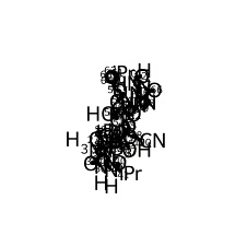 CC(C)C(=O)Nc1nc2c(ncn2[C@@H]2O[C@H](COP(OCCC#N)O[C@H]3[C@@H](O[Si](C)(C)C(C)(C)C)[C@H](n4cnc5c(=O)[nH]c(NC(=O)C(C)C)nc54)O[C@@H]3CO)[C@@H](O[PH](=O)O)[C@H]2NC(=O)OCc2ccccc2)c(=O)[nH]1